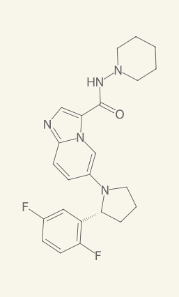 O=C(NN1CCCCC1)c1cnc2ccc(N3CCC[C@@H]3c3cc(F)ccc3F)cn12